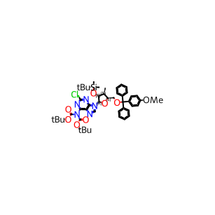 COc1ccc(C(OC[C@H]2O[C@@H](n3cnc4c(N(C(=O)OC(C)(C)C)C(=O)OC(C)(C)C)nc(Cl)nc43)[C@H](O[Si](C)(C)C(C)(C)C)[C@H]2C)(c2ccccc2)c2ccccc2)cc1